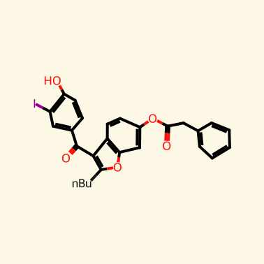 CCCCc1oc2cc(OC(=O)Cc3ccccc3)ccc2c1C(=O)c1ccc(O)c(I)c1